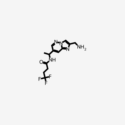 CC(NC(=O)CCC(F)(F)F)c1cnn2cc(CN)nc2c1